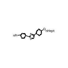 CCCCCCCOc1ccc(-c2csc(-c3ccc(CCC)cc3)n2)cc1